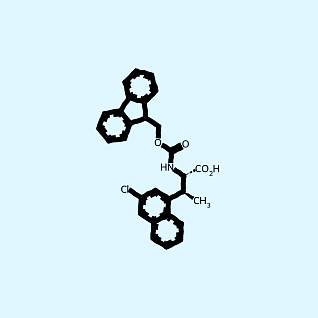 C[C@@H](c1cc(Cl)cc2ccccc12)[C@H](NC(=O)OCC1c2ccccc2-c2ccccc21)C(=O)O